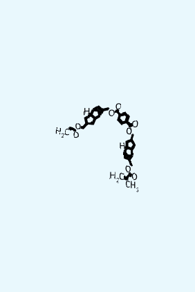 C=CC(=O)OCC1CC2C3CC(CC3COC(=O)c3ccc(C(=O)OCC4CC5C6CC(CC6COC(=O)C(=C)C)[C@H]5C4)cc3)[C@H]2C1